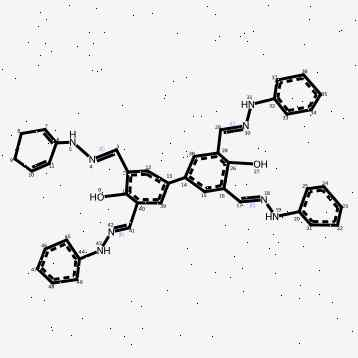 Oc1c(/C=N/NC2=CCCC=C2)cc(-c2cc(/C=N/Nc3ccccc3)c(O)c(/C=N/Nc3ccccc3)c2)cc1/C=N/Nc1ccccc1